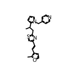 Cc1occc1/C=C/c1csc(CC(C)c2cccn2Cc2ccncc2)n1